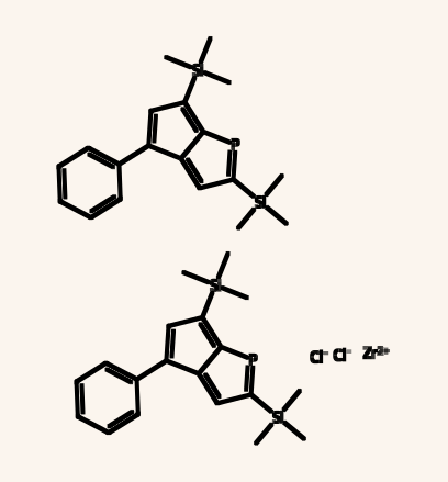 C[Si](C)(C)C1=PC2=C([Si](C)(C)C)C=C(c3ccccc3)C2=C1.C[Si](C)(C)C1=PC2=C([Si](C)(C)C)C=C(c3ccccc3)C2=C1.[Cl-].[Cl-].[Zr+2]